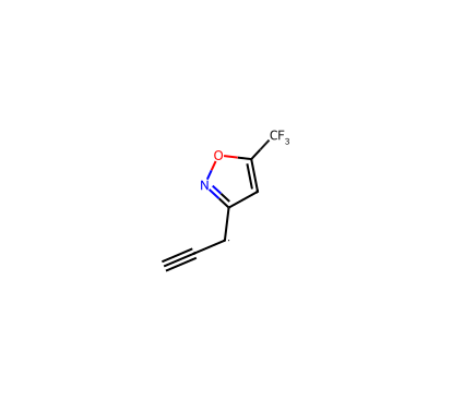 C#C[CH]c1cc(C(F)(F)F)on1